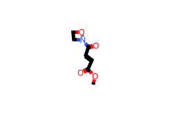 COC(=O)/C=C/C(=O)N1CCO1